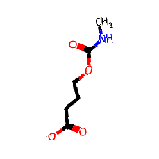 CNC(=O)OCCCC([O])=O